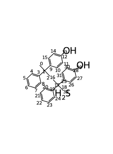 CC(C)(c1ccccc1)c1ccc(O)cc1.CC(C)(c1ccccc1)c1ccc(O)cc1.S